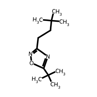 CC(C)(C)CCc1noc(C(C)(C)C)n1